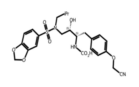 CC(C)CN(C[C@H](O)[C@H](Cc1ccc(OCC#N)cc1)NC(=O)O)S(=O)(=O)c1ccc2c(c1)OCO2